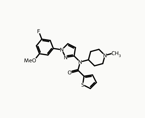 COc1cc(F)cc(-n2ccc(N(C(=O)c3cccs3)C3CCN(C)CC3)n2)c1